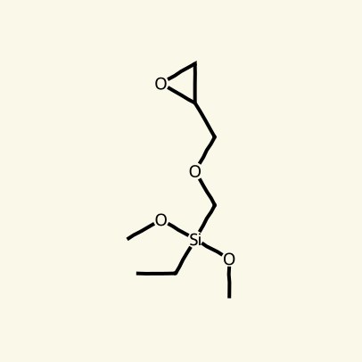 CC[Si](COCC1CO1)(OC)OC